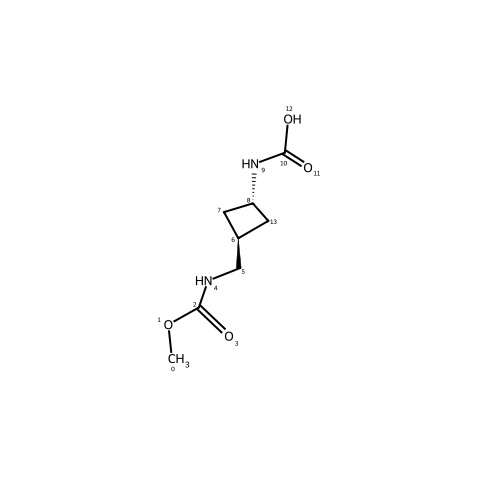 COC(=O)NC[C@H]1C[C@H](NC(=O)O)C1